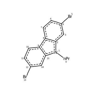 CCCn1c2cc(Br)ccc2c2ccc(Br)cc21